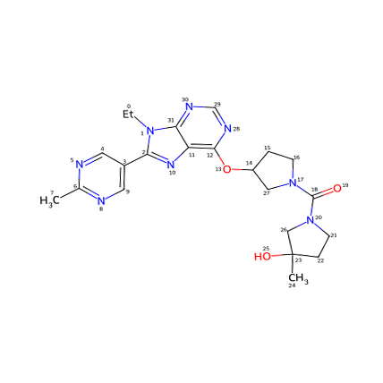 CCn1c(-c2cnc(C)nc2)nc2c(OC3CCN(C(=O)N4CCC(C)(O)C4)C3)ncnc21